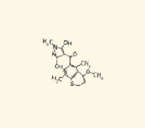 COC1CCSc2c(C)cc(C(=O)c3c(C)nn(C)c3O)c(C)c21